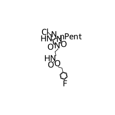 CCCCCn1c(=O)n(CCCNC(=O)OCCc2ccc(F)cc2)c(=O)c2[nH]c(Cl)nc21